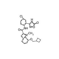 Cn1c(C(=O)Nc2ccc(Cl)cc2-c2noc(=O)[nH]2)cc2cccc(OCC3CCC3)c21